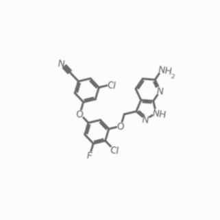 N#Cc1cc(Cl)cc(Oc2cc(F)c(Cl)c(OCc3n[nH]c4nc(N)ccc34)c2)c1